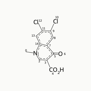 Cn1cc(C(=O)O)c(=O)c2cc(Cl)c(Cl)cc21